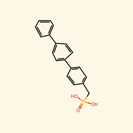 O=P(O)(O)Cc1ccc(-c2ccc(-c3ccccc3)cc2)cc1